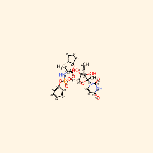 C#C[C@@]1(O)[C@H](O)[C@@H](COP(=O)(N[C@@H](C)C(=O)OC2CCCC2)Oc2ccccc2)O[C@@]1(C)n1ccc(=O)[nH]c1=O